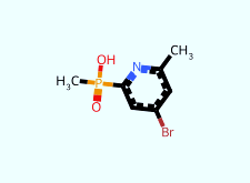 Cc1cc(Br)cc(P(C)(=O)O)n1